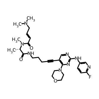 C[C@@H](C(=O)NCCCC#Cc1cnc(Nc2ccc(F)nc2)nc1N1CCOCC1)N(C)C(=O)/C=C/CN(C)C